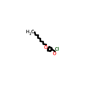 C=CCCCCCCCCOc1ccc(C(=O)Cl)cc1